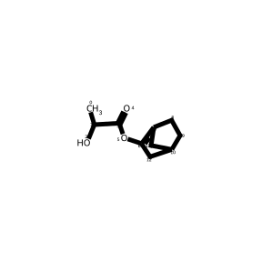 CC(O)C(=O)OC1=C2CCC(C2)C1